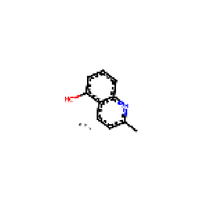 Cc1ccc2c(O)cccc2n1.[AlH3]